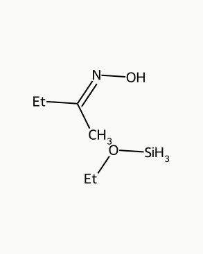 CCC(C)=NO.CCO[SiH3]